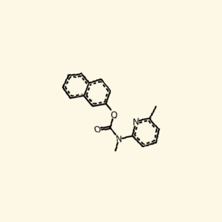 Cc1cccc(N(C)C(=O)Oc2ccc3ccccc3c2)n1